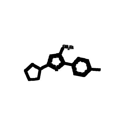 CCOC(=O)c1cn(C2CCCC2)nc1-c1ccc(C)cc1